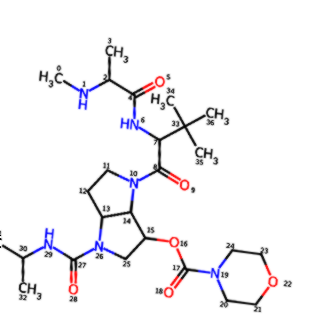 CNC(C)C(=O)NC(C(=O)N1CCC2C1C(OC(=O)N1CCOCC1)CN2C(=O)NC(C)C)C(C)(C)C